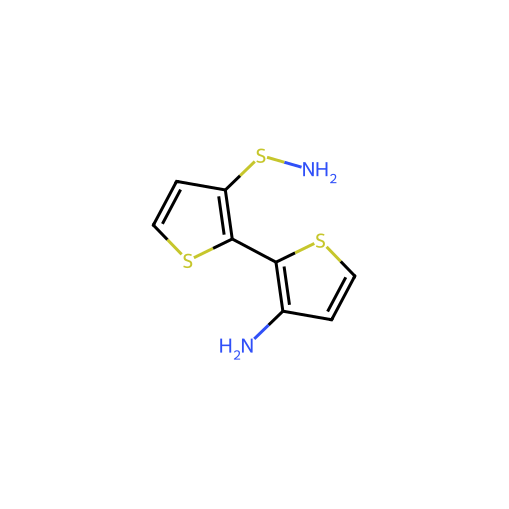 NSc1ccsc1-c1sccc1N